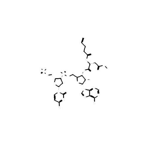 C=CCCC(=O)N[C@@H](CC(=O)SC(C)C)C(=O)O[C@@H]1C(COP(=O)(O)[C@H]2C[C@H](n3ccc(N)nc3=O)O[C@@H]2COP(=O)(O)O)O[C@@H](n2cnc3c(N)ncnc32)[C@@H]1O